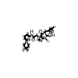 Cc1cc(CN2C(=O)c3c(ncn3CC(=O)Nc3cccc(N4CCC(F)(F)CC4)n3)N(C)C2O)no1